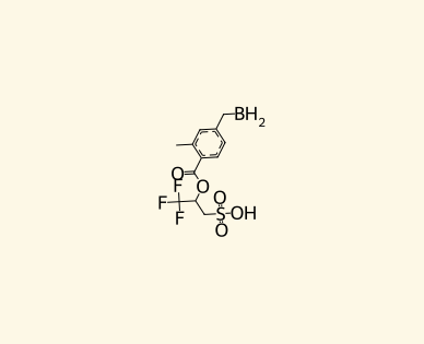 BCc1ccc(C(=O)OC(CS(=O)(=O)O)C(F)(F)F)c(C)c1